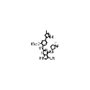 COc1cc(-c2cc(C)n[nH]2)ccc1Nc1nc(NC2CCC(F)(F)C2)c2c(C#N)c[nH]c2n1